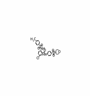 Cc1ccc(S(=O)(=O)Nc2ccc(Cl)cc2C(=O)Nc2ccc(S(=O)(=O)N3CCOCC3)cc2)cc1